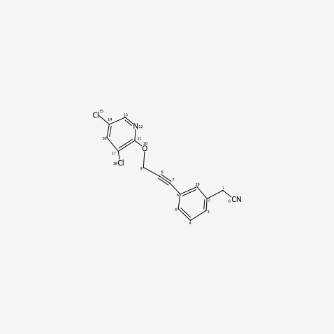 N#CCc1cccc(C#CCOc2ncc(Cl)cc2Cl)c1